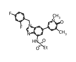 CCS(=O)(=O)Nc1cc(-c2cc(C)c(=O)n(C)c2)cc2c1ncn2Cc1ccc(F)cc1F